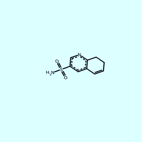 NS(=O)(=O)c1cnc2c(c1)C=CCC2